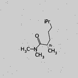 CC(C)CCC[C@H](C)C(=O)N(C)C